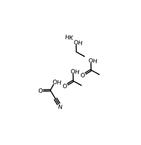 CC(=O)O.CC(=O)O.CCO.N#CC(=O)O.[KH]